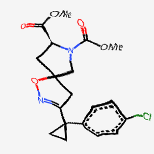 COC(=O)[C@@H]1CC2(CC(C3(c4ccc(Cl)cc4)CC3)=NO2)CN1C(=O)OC